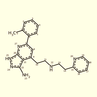 Cc1ccccc1-c1cc(CCNCCc2ccccn2)c2c(N)n[nH]c2n1